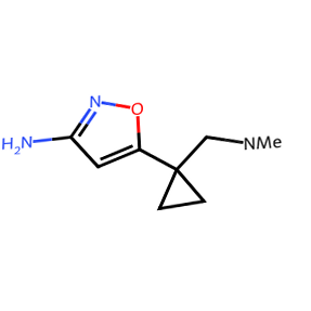 CNCC1(c2cc(N)no2)CC1